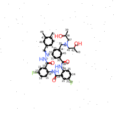 Cc1ccc(/C=N/NC(=O)c2cc(F)ccc2NC(=O)c2cc(F)ccc2NC(=O)c2cccc(CN(CC(C)O)CC(C)O)c2)cc1C